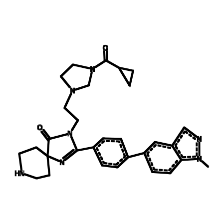 Cn1ncc2cc(-c3ccc(C4=NC5(CCNCC5)C(=O)N4CCN4CCN(C(=O)C5CC5)C4)cc3)ccc21